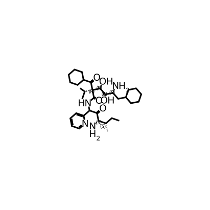 CC[C@H](C)[C@H](N)C(=O)C(NC(=O)[C@](C(=O)C1CCCCC1)(C(C)C)[C@@H](O)[C@H](O)[C@@H](N)CC1CCCCC1)c1ccccn1